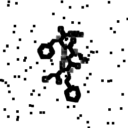 COC(=O)[C@H](Cc1ccccc1)NC(=O)[C@H](CC(C)C)NC(=O)[C@H](CCc1ccccc1)NC(=O)CCl